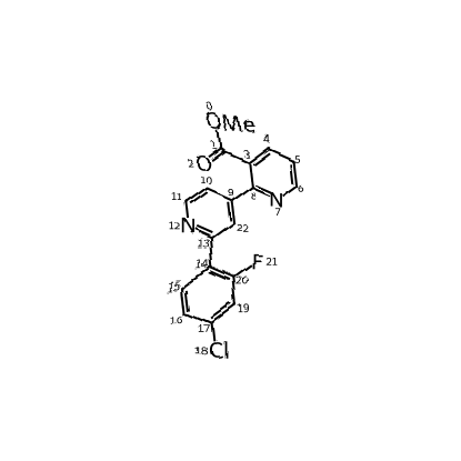 COC(=O)c1cccnc1-c1ccnc(-c2ccc(Cl)cc2F)c1